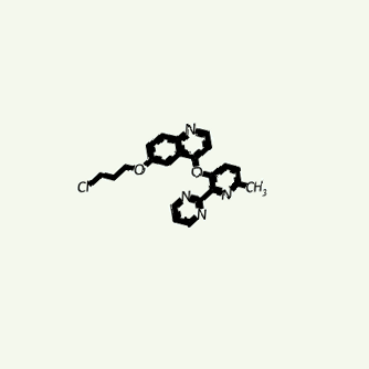 Cc1ccc(Oc2ccnc3ccc(OCCCCl)cc23)c(-c2ncccn2)n1